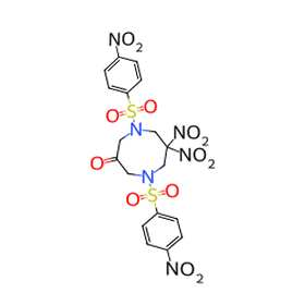 O=C1CN(S(=O)(=O)c2ccc([N+](=O)[O-])cc2)CC([N+](=O)[O-])([N+](=O)[O-])CN(S(=O)(=O)c2ccc([N+](=O)[O-])cc2)C1